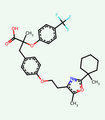 Cc1oc(C2(C)CCCCC2)nc1CCOc1ccc(CC(C)(Oc2ccc(C(F)(F)F)cc2)C(=O)O)cc1